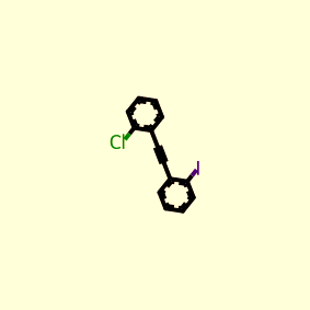 Clc1ccccc1C#Cc1ccccc1I